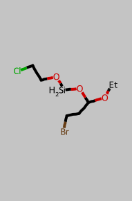 CCOC(CCBr)O[SiH2]OCCCl